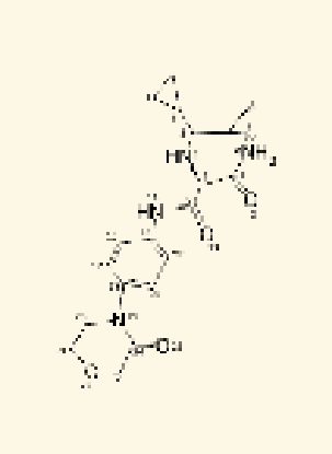 NC(=O)[C@H](NC(C1CC1)C1CC1)C(=O)Nc1ccc(N2CCOCC2=O)cc1